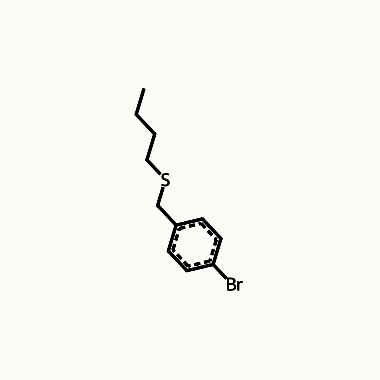 CCCCSCc1ccc(Br)cc1